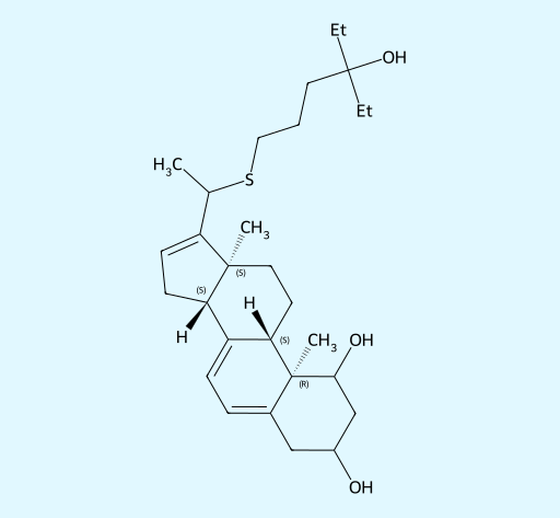 CCC(O)(CC)CCCSC(C)C1=CC[C@H]2C3=CC=C4CC(O)CC(O)[C@]4(C)[C@H]3CC[C@]12C